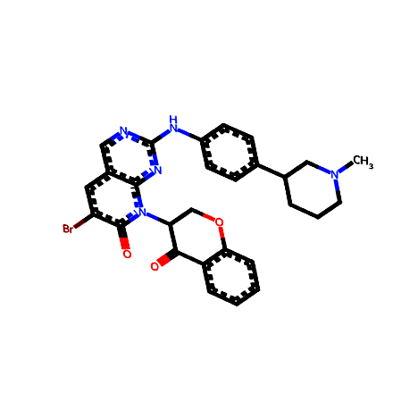 CN1CCCC(c2ccc(Nc3ncc4cc(Br)c(=O)n(C5COc6ccccc6C5=O)c4n3)cc2)C1